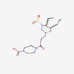 C=C/C=C1/OC(CCC(=O)N2CCC(C(=O)O)CC2)CN([SH](=O)=O)/C1=C/C